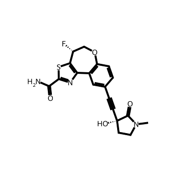 CN1CC[C@@](O)(C#Cc2ccc3c(c2)-c2nc(C(N)=O)sc2[C@H](F)CO3)C1=O